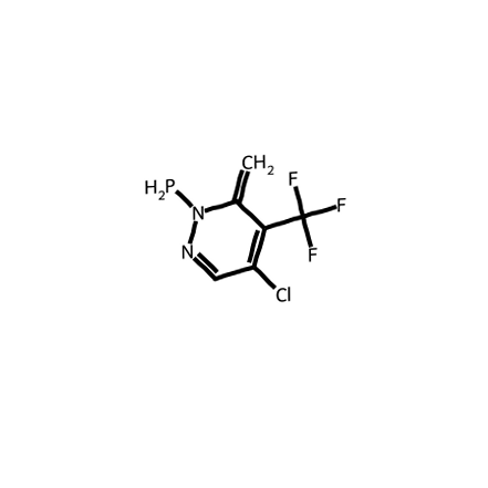 C=C1C(C(F)(F)F)=C(Cl)C=NN1P